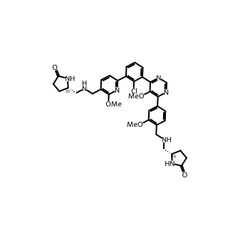 COc1cc(-c2ncnc(-c3cccc(-c4ccc(CNC[C@@H]5CCC(=O)N5)c(OC)n4)c3Cl)c2OC)ccc1CNC[C@@H]1CCC(=O)N1